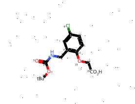 CC(C)(C)OC(=O)NCc1cc(Cl)ccc1OCC(=O)O